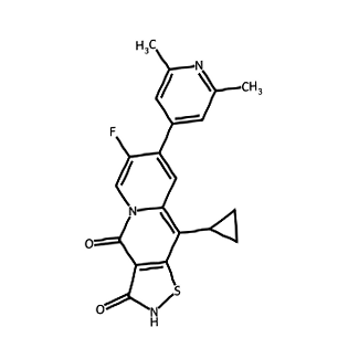 Cc1cc(-c2cc3c(C4CC4)c4s[nH]c(=O)c4c(=O)n3cc2F)cc(C)n1